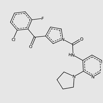 O=C(c1ccn(C(=O)Nc2cccnc2N2CCCC2)c1)c1c(F)cccc1Cl